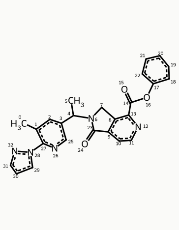 Cc1cc(C(C)N2Cc3c(ccnc3C(=O)Oc3ccccc3)C2=O)cnc1-n1cccn1